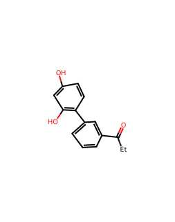 CCC(=O)c1cccc(-c2ccc(O)cc2O)c1